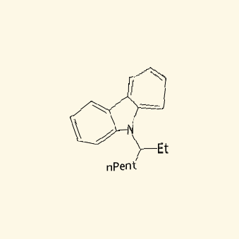 CCCCCC(CC)n1c2ccccc2c2ccccc21